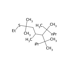 CCCC(C)(C)C(C(C)CC(C)(C)SCC)C(C)(C)C(C)C